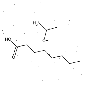 CC(N)O.CCCCCCCC(=O)O